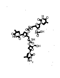 Cc1cn(C2CC(OP(=O)(S)OCC3OC(n4cc(C)c(=O)[nH]c4=O)C[C@@H]3O[P@@](=O)(S)OCC3OC(n4cc(C)c(=O)[nH]c4=O)C[C@@H]3O[PH](=O)S)[C@@H](CO)O2)c(=O)nc1N